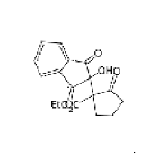 CCOC(=O)C1(C2(O)C(=O)c3ccccc3C2=O)CCCC1=O